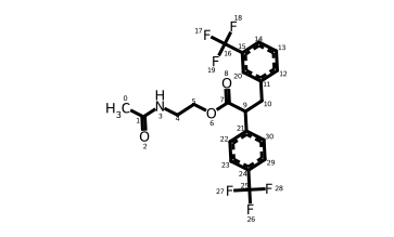 CC(=O)NCCOC(=O)C(Cc1cccc(C(F)(F)F)c1)c1ccc(C(F)(F)F)cc1